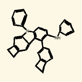 c1ccc(Nc2ccc3c(c2-c2ccc4c(c2)CC4)c2cc4c(cc2n3-c2ccccc2)CC4)cc1